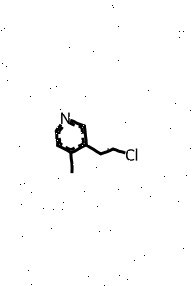 Cc1ccncc1C[CH]Cl